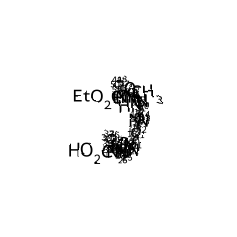 CCOC(=O)N[C@@H](C(=O)N[C@@H](C)c1ncc(-c2cnc(-c3ccc(-c4cnc([C@@H]5CCCN5C(=O)[C@H](NC(=O)O)c5ccccc5)[nH]4)cc3)nc2)[nH]1)c1ccccc1